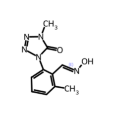 Cc1cccc(-n2nnn(C)c2=O)c1/C=N/O